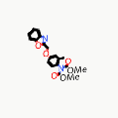 COC(=O)N(C(=O)OC)c1ccc(OCc2nc3ccccc3o2)cc1C